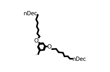 [CH2]c1cc(OCCCCCCCCCCCCCCCCC)cc(OCCCCCCCCCCCCCCCCC)c1